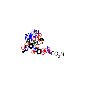 C#CCN1C(=O)COc2cc(F)c(N3C(=O)C4=C(CCCC4)C3=O)cc21.COc1nc(C)nc(NC(=O)NS(=O)(=O)c2ccsc2C(=O)O)n1.C[S+](C)C.O=C(O)CNCP(=O)([O-])O